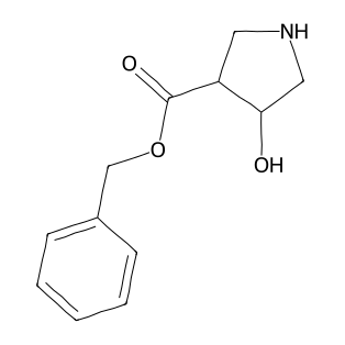 O=C(OCc1ccccc1)C1CNCC1O